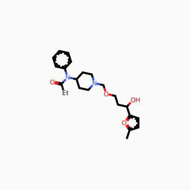 CCC(=O)N(c1ccccc1)C1CCN(COCCC(O)c2ccc(C)o2)CC1